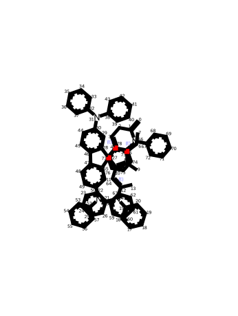 C=C(C/C=C1\C(=C/C)C(C)=C(/C=C(\C)N(c2ccccc2)c2ccccc2)C12c1cc(N(c3ccccc3)c3ccccc3)ccc1-c1ccc(N(c3ccccc3)c3ccccc3)cc12)N(c1ccccc1)c1ccccc1